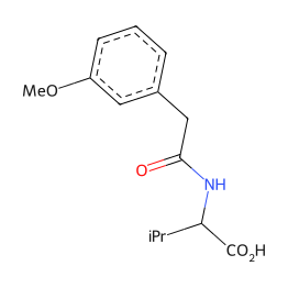 COc1cccc(CC(=O)NC(C(=O)O)C(C)C)c1